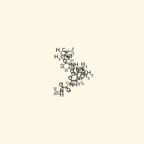 C[C@@H](C1CC1)N(C)S(=O)(=O)CC1(NC(=O)N[C@H](C(=O)N2CCC[C@H]2C(=O)NCC(=O)C(=O)NC2CC2)C(C)(C)C)CCCCC1